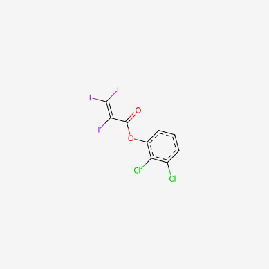 O=C(Oc1cccc(Cl)c1Cl)C(I)=C(I)I